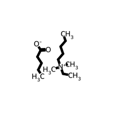 CCCCC(=O)[O-].CCCCC[N+](C)(C)CC